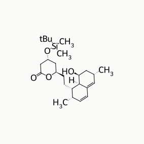 C[C@@H]1C=C2C=C[C@H](C)[C@H](CC[C@@H]3C[C@@H](O[Si](C)(C)C(C)(C)C)CC(=O)O3)[C@H]2[C@@H](O)C1